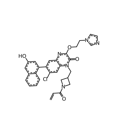 C=CC(=O)N1CC(Cn2c(=O)c(OCCn3ccnc3)nc3cc(-c4cc(O)cc5ccccc45)c(Cl)cc32)C1